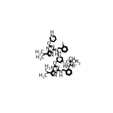 CC(C)c1cnn2c(NCc3ccccc3I)nc(OC3CCCNC3)nc12.CC(C)c1cnn2c(NCc3ccccc3N[S+]([O-])C(C)(C)C)nc(OC3CCCNC3)nc12